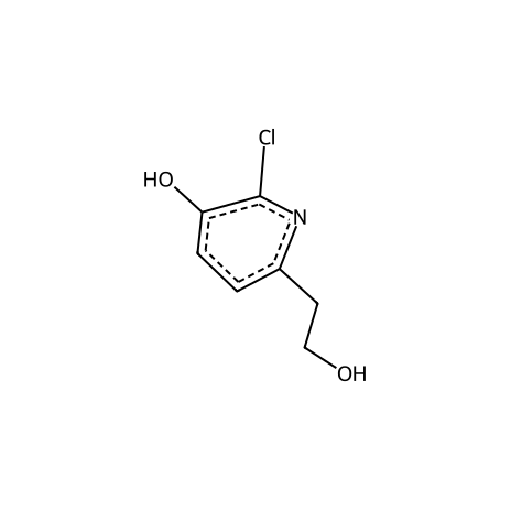 OCCc1ccc(O)c(Cl)n1